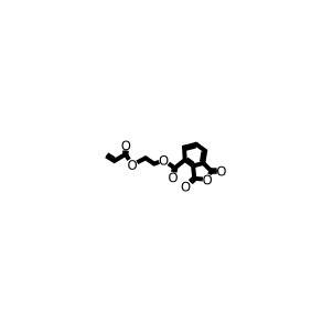 C=CC(=O)OCCOC(=O)c1cccc2c1C(=O)OC2=O